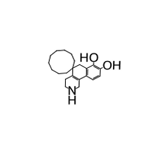 Oc1ccc2c(c1O)CC1(CCCCCCCCC1)C1=C2CNCC1